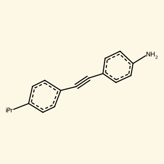 CC(C)c1ccc(C#Cc2ccc(N)cc2)cc1